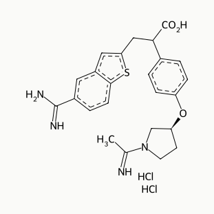 CC(=N)N1CC[C@H](Oc2ccc(C(Cc3cc4cc(C(=N)N)ccc4s3)C(=O)O)cc2)C1.Cl.Cl